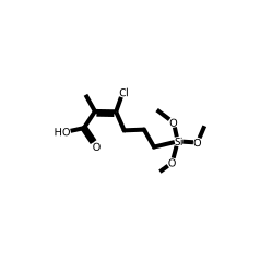 CO[Si](CCCC(Cl)=C(C)C(=O)O)(OC)OC